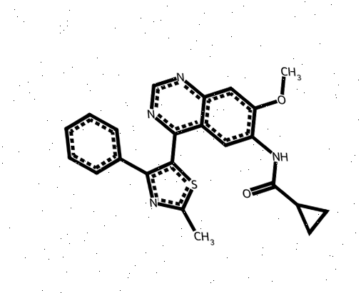 COc1cc2ncnc(-c3sc(C)nc3-c3ccccc3)c2cc1NC(=O)C1CC1